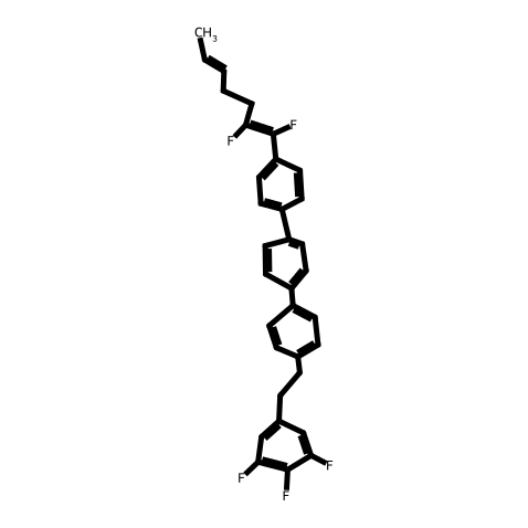 C/C=C/CC/C(F)=C(\F)c1ccc(-c2ccc(-c3ccc(CCc4cc(F)c(F)c(F)c4)cc3)cc2)cc1